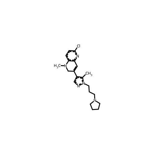 Cc1c(C2=Cc3nc(Cl)ccc3N(C)C2)cnn1CCCN1CCCC1